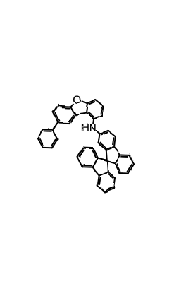 c1ccc(-c2ccc3oc4cccc(Nc5ccc6c(c5)C5(c7ccccc7-c7ccccc75)c5ccccc5-6)c4c3c2)cc1